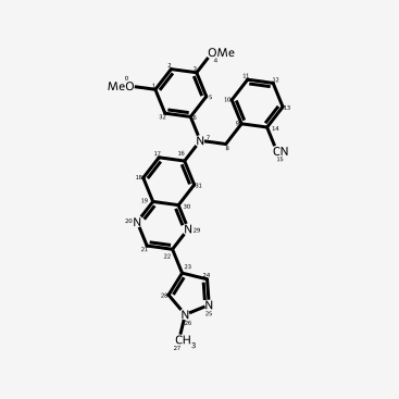 COc1cc(OC)cc(N(Cc2ccccc2C#N)c2ccc3ncc(-c4cnn(C)c4)nc3c2)c1